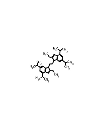 CCC1=Cc2c(cc(C(C)C)cc2C(C)C)[C]1CC[C]1C(CC)=Cc2c1cc(C(C)C)cc2C(C)C